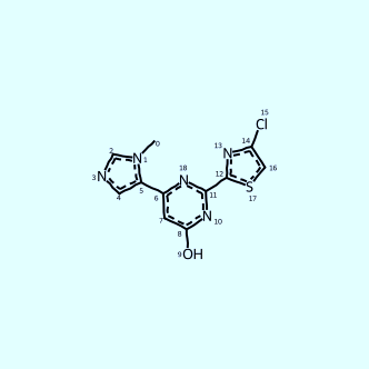 Cn1cncc1-c1cc(O)nc(-c2nc(Cl)cs2)n1